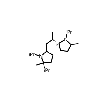 CC(CC1CCC(C)(C(C)C)N1C(C)C)[C@H]1CCC(C)N1C(C)C